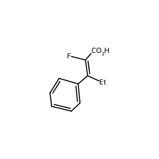 CCC(=C(F)C(=O)O)c1ccccc1